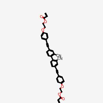 C=CC(=O)OCCOc1ccc(C#Cc2ccc(-c3ccc(C#Cc4ccc(OCCOC(=O)C=C)cc4)cc3C#N)c(C#N)c2)cc1